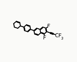 Fc1cc2cc(-c3ccc(C4C=CCCC4)cc3)ccc2c(F)c1C#CC(F)(F)F